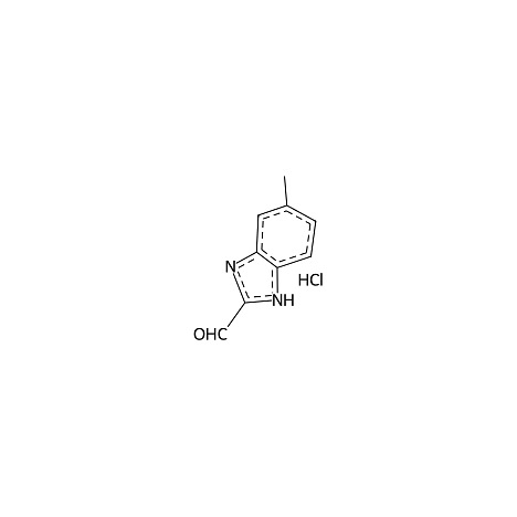 Cc1ccc2[nH]c(C=O)nc2c1.Cl